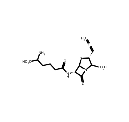 C=C=C[C@H]1SC2[C@@H](NC(=O)CCCC(N)C(=O)O)C(=O)N2C1C(=O)O